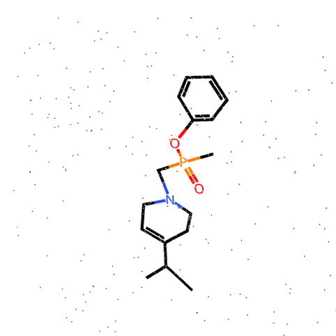 CC(C)C1=CCN(CP(C)(=O)Oc2ccccc2)CC1